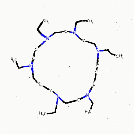 CCN1CCCN(CC)CCN(CC)CCN(CC)CCN(CC)CCCN(CC)CC1